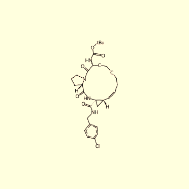 CC(C)(C)OC(=O)N[C@H]1CCCCC/C=C\[C@@H]2C[C@@]2(C(=O)NCc2ccc(Cl)cc2)NC(=O)[C@@H]2CCCN2C1=O